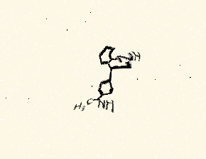 CC(=N)C1=CCC(c2c[nH]c3ccccc23)C=C1